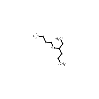 [CH2]CCC(C[CH2])OCCCC